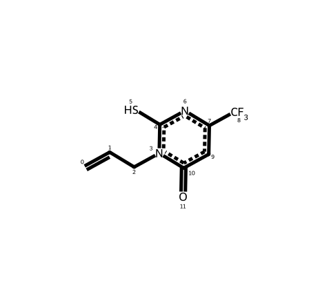 C=CCn1c(S)nc(C(F)(F)F)cc1=O